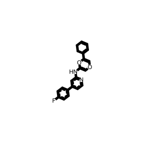 Fc1ccc(-c2ccnc(NC3=COC=C(C4=CC=CCC4)O3)c2)cc1